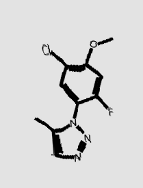 COc1cc(F)c(-n2nn[c]c2C)cc1Cl